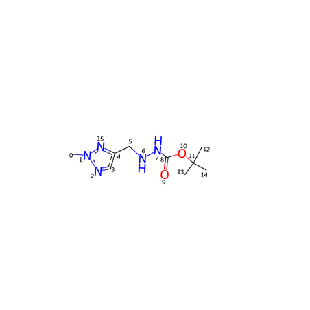 Cn1ncc(CNNC(=O)OC(C)(C)C)n1